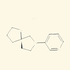 Cl.Cl.c1cncc(N2CC[C@]3(CCCN3)C2)c1